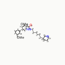 COc1cccc(C2=CCC(OC)(C(=O)NCCCCCCc3cccnc3)C=C2)c1